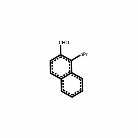 CCCc1c(C=O)ccc2ccccc12